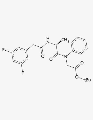 C[C@H](NC(=O)Cc1cc(F)cc(F)c1)C(=O)N(CC(=O)OC(C)(C)C)c1ccccc1